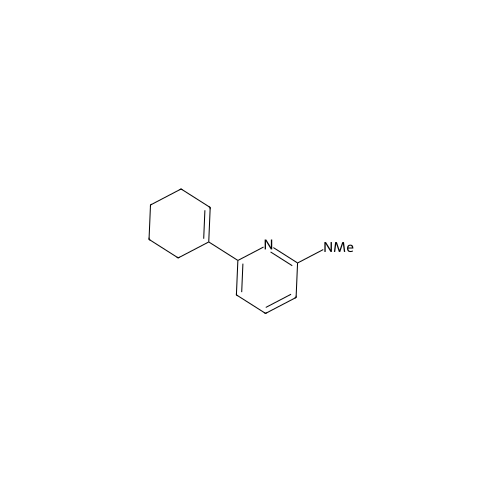 CNc1cccc(C2=CCCCC2)n1